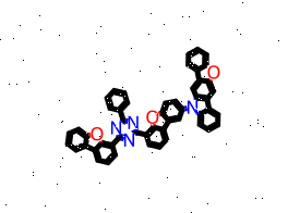 c1ccc(-c2nc(-c3cccc4c3oc3ccccc34)nc(-c3cccc4c3oc3ccc(-n5c6ccccc6c6cc7oc8ccccc8c7cc65)cc34)n2)cc1